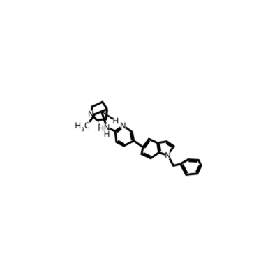 C[C@@H]1[C@@H](Nc2ccc(-c3ccc4c(ccn4Cc4ccccc4)c3)cn2)C2CCN1CC2